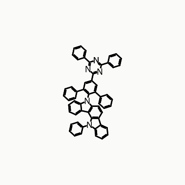 c1ccc(-c2nc(-c3ccccc3)nc(-c3cc(-c4ccccc4)c(-n4c5ccccc5c5c4ccc4c6ccccc6n(-c6ccccc6)c45)c(-c4ccccc4)c3)n2)cc1